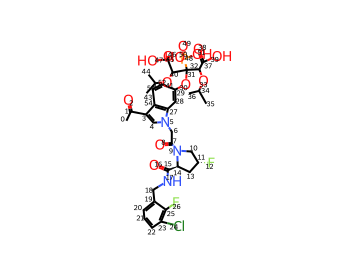 CC(=O)c1cn(CC(=O)N2C[C@H](F)C[C@H]2C(=O)NCc2cccc(Cl)c2F)c2cc(OC(C(OC(C)C)C(=O)O)(C(OC(C)C)C(=O)O)P(=O)(O)O)ccc12